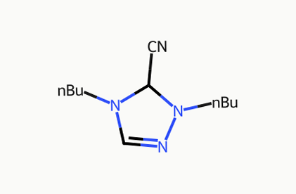 CCCCN1C=NN(CCCC)C1C#N